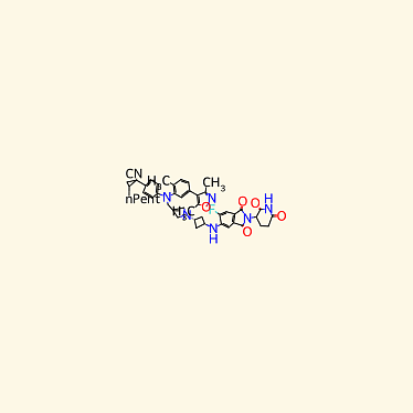 CCCCCC1CC1(C#N)c1ccc(N(CC2CN([C@H]3C[C@H](Nc4cc5c(cc4F)C(=O)N(C4CCC(=O)NC4=O)C5=O)C3)C2)c2cc(-c3c(C)noc3C)ccc2C)cc1